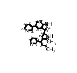 C=C/C=C(/c1cccnc1)c1cc(-c2n[nH]c3ncc(-c4cccnc4)cc23)[nH]c1C